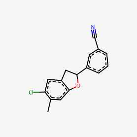 Cc1cc2c(cc1Cl)CC(c1cccc(C#N)c1)O2